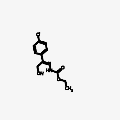 CCOC(=O)NN=C(CO)c1ccc(Cl)cc1